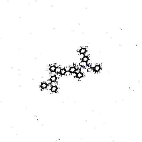 C=C(/N=C(\N=C(/C)n1c2ccccc2c2cc(-c3ccc4c(c3)Sc3ccccc3N4c3ccc(N(c4ccccc4)c4ccccc4)cc3)ccc21)c1ccc(-c2ccccc2)cc1)c1ccccc1